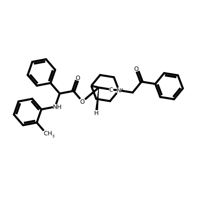 Cc1ccccc1NC(C(=O)O[C@H]1C[N+]2(CC(=O)c3ccccc3)CCC1CC2)c1ccccc1